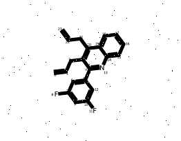 C=CCc1c(-c2cc(F)cc(F)c2)nc2ccccc2c1CC=C